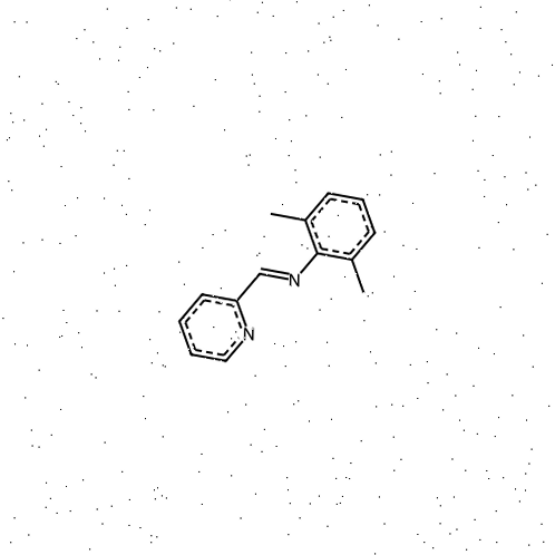 Cc1cccc(C)c1N=Cc1ccccn1